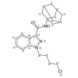 O=C(NC12CC3CC(CC(C3)C1)C2)c1nn(CCCCCl)c2ccccc12